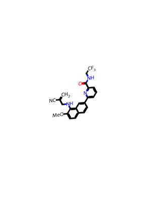 C=C(C#N)CNc1c(OC)ccc2ccc(-c3cccc(C(=O)NCC(F)(F)F)n3)cc12